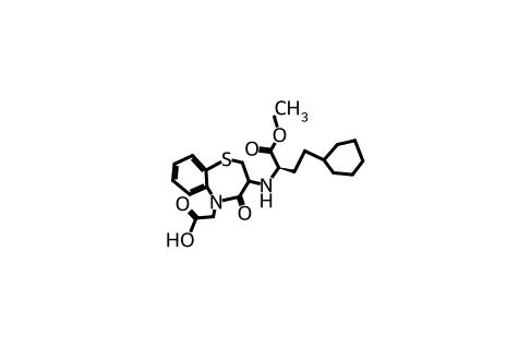 CCOC(=O)[C@@H](CCC1CCCCC1)NC1CSc2ccccc2N(CC(=O)O)C1=O